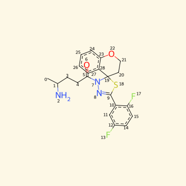 CC(N)CCC(=O)N1N=C(c2cc(F)ccc2F)SC12CCOc1ccccc12